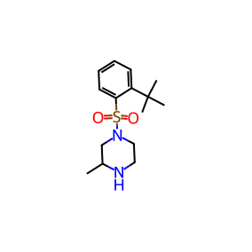 CC1CN(S(=O)(=O)c2ccccc2C(C)(C)C)CCN1